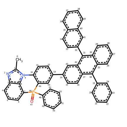 Cc1nc2cccc3c2n1-c1ccc(-c2ccc4c(-c5ccccc5)c5ccccc5c(-c5ccc6ccccc6c5)c4c2)cc1P3(=O)c1ccccc1